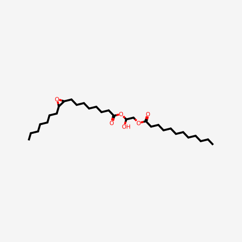 CCCCCCCCCCCC(=O)OCC(O)OC(=O)CCCCCCCC1OC1CCCCCCC